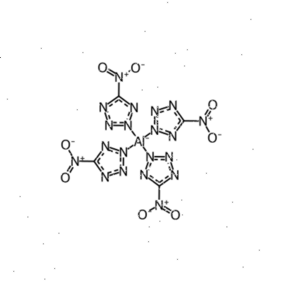 O=[N+]([O-])c1nn[n]([Al-]([n]2nnc([N+](=O)[O-])n2)([n]2nnc([N+](=O)[O-])n2)[n]2nnc([N+](=O)[O-])n2)n1